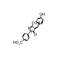 CCOC(=O)C1=NN(c2ccc(C(=O)O)cc2)C(=O)/C1=C/c1ccc(O)cc1